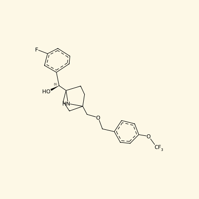 O[C@@H](c1cccc(F)c1)C12CCC(COCc3ccc(OC(F)(F)F)cc3)(CC1)N2